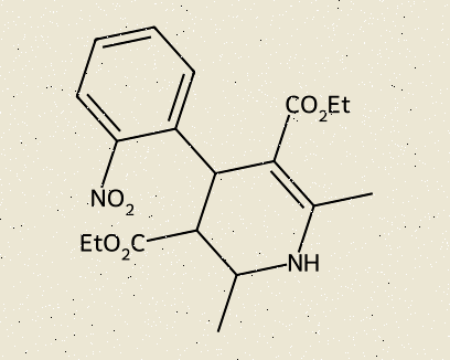 CCOC(=O)C1=C(C)NC(C)C(C(=O)OCC)C1c1ccccc1[N+](=O)[O-]